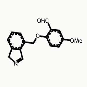 COc1ccc(OCc2cccc3c2C=NC3)c(C=O)c1